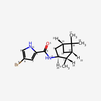 C[C@@H]1[C@@H](NC(=O)c2cc(Br)c[nH]2)C[C@H]2C[C@@H]1C2(C)C